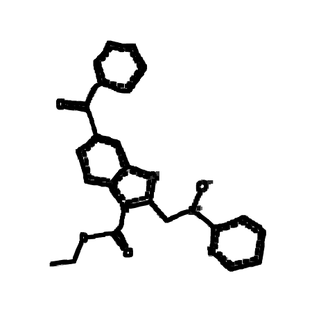 CCOC(=O)n1c(C[S+]([O-])c2ccccn2)nc2cc(C(=O)c3ccccc3)ccc21